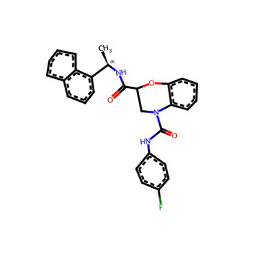 C[C@@H](NC(=O)C1CN(C(=O)Nc2ccc(F)cc2)c2ccccc2O1)c1cccc2ccccc12